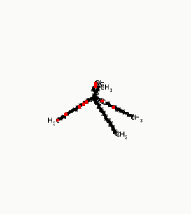 CCCCCCCCCCCCCCCCCCOCC(COCCCCCCCCCCCCCCCCCC)(COCCCCCCCCCCCCCCCCCC)COc1ccc(CO)c(OC)c1